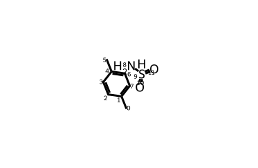 Cc1ccc(C)cc1.N[SH](=O)=O